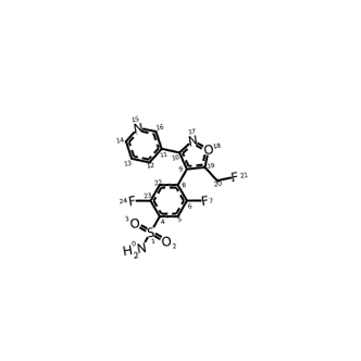 NS(=O)(=O)c1cc(F)c(-c2c(-c3cccnc3)noc2CF)cc1F